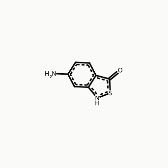 Nc1ccc2c(=O)s[nH]c2c1